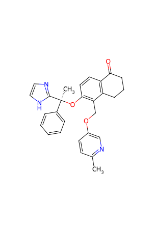 Cc1ccc(OCc2c(O[C@@](C)(c3ccccc3)c3ncc[nH]3)ccc3c2CCCC3=O)cn1